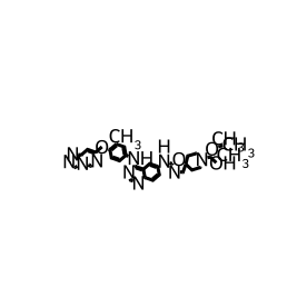 Cc1cc(Nc2ncnc3ccc(NC4=NCC5(CCN(C(O)OC(C)(C)C)CC5)O4)cc23)ccc1Oc1cc2nncn2cn1